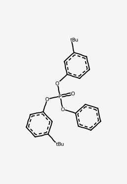 CC(C)(C)c1cccc(OP(=O)(Oc2ccccc2)Oc2cccc(C(C)(C)C)c2)c1